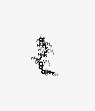 CCCN(CCCNC(=O)CCC(C)(C)OCCC(C)(C)C(=O)Oc1c(F)c(F)cc(F)c1F)C(=O)C1=Cc2ccc(-c3cccc(S(=O)(=O)N4CC(CO)C4)c3)cc2N=C(N)C1